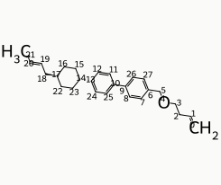 C=CCCOCc1ccc(-c2ccc([C@H]3CC[C@H](CC=CC)CC3)cc2)cc1